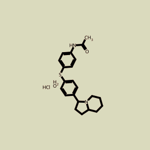 CC(=O)Nc1ccc(Sc2ccc(C3CCC4CCCCN43)cc2)cc1.Cl.O